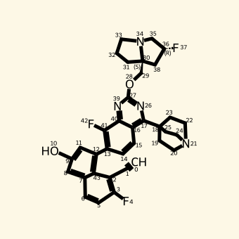 C#Cc1c(F)ccc2cc(O)cc(-c3ccc4c(C56CCN(CC5)CC6)nc(OC[C@@]56CCCN5C[C@H](F)C6)nc4c3F)c12